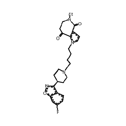 CCN1CCC(=O)c2c(ccn2CCCCN2CCC(c3noc4cc(F)ccc34)CC2)C1=O